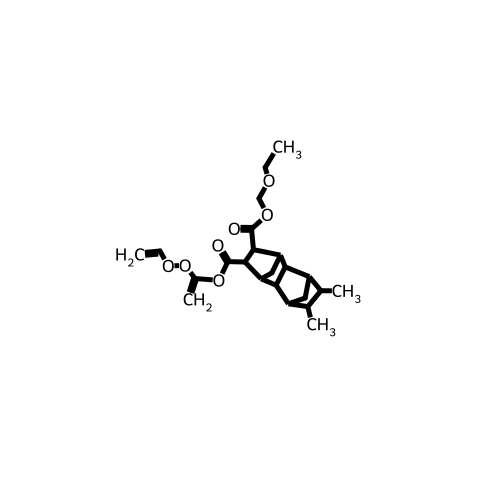 C=COOC(=C)OC(=O)C1C2CC(C1C(=O)OCOCC)C1C3CC(C(C)C3C)C21